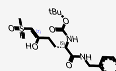 CC(C)(C)OC(=O)N[C@@H](CC/C(O)=C/[SH](C)(C)=O)C(=O)NCc1ccccc1